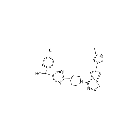 Cn1cc(-c2cc3c(N4CC=C(c5ncc(C(C)(O)c6ccc(Cl)cc6)cn5)CC4)ncnn3c2)cn1